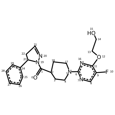 O=C(C1CCN(c2ncc(F)c(OCCO)n2)CC1)N1N=CCC1c1ccccc1